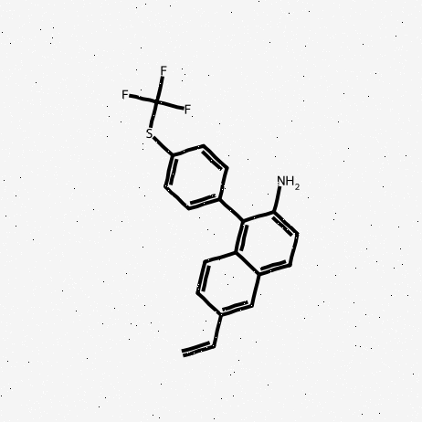 C=Cc1ccc2c(-c3ccc(SC(F)(F)F)cc3)c(N)ccc2c1